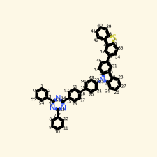 c1ccc(-c2nc(-c3ccccc3)nc(-c3ccc(-c4ccc(-n5c6ccccc6c6cc(-c7ccc8sc9ccccc9c8c7)ccc65)cc4)cc3)n2)cc1